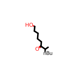 CCCCC(C)C(=O)CCCCCO